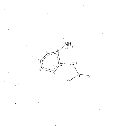 CC(C)Sc1ccccc1N